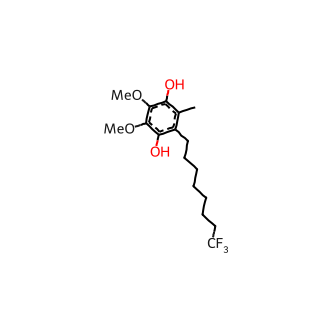 COc1c(O)c(C)c(CCCCCCCC(F)(F)F)c(O)c1OC